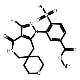 CCCOC(=O)c1ccc(S(=O)(=O)C(C)C)c(-n2nc(CC)c3c2CC2(CCOCC2)CNC3=O)c1